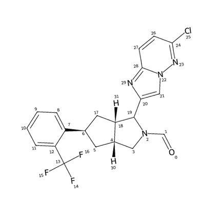 O=CN1C[C@@H]2C[C@@H](c3ccccc3C(F)(F)F)C[C@@H]2C1c1cn2nc(Cl)ccc2n1